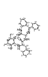 O=C(NC1N=C(c2ccccc2)c2ccccc2NC1=O)C(Cc1ccccc1)Nc1c(F)c(F)nc(F)c1F